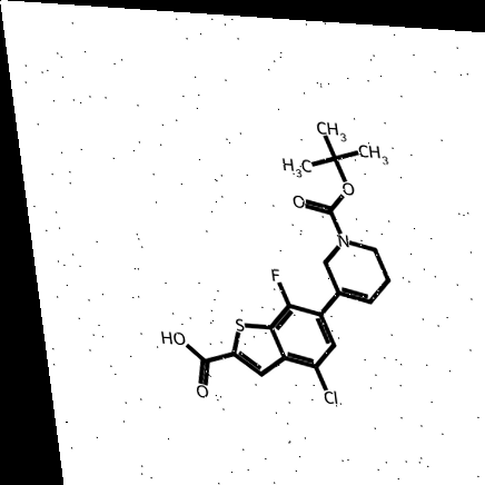 CC(C)(C)OC(=O)N1CCC=C(c2cc(Cl)c3cc(C(=O)O)sc3c2F)C1